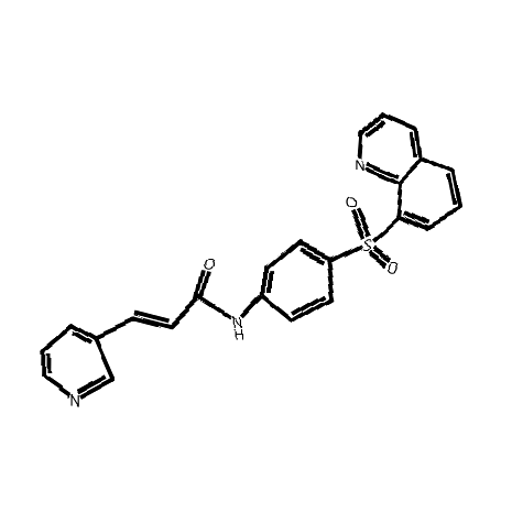 O=C(C=Cc1cccnc1)Nc1ccc(S(=O)(=O)c2cccc3cccnc23)cc1